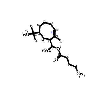 CCCC(OC(=O)CCCN)C1CC(C(C)(C)O)CCC/C=C\1C